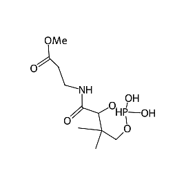 COC(=O)CCNC(=O)C1O[PH](O)(O)OCC1(C)C